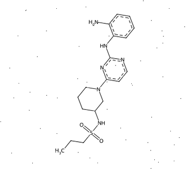 CCCS(=O)(=O)NC1CCCN(c2ccnc(Nc3ccccc3N)n2)C1